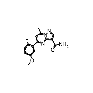 COc1ccc(F)c(-c2cc(C)n3ncc(C(N)=O)c3n2)c1